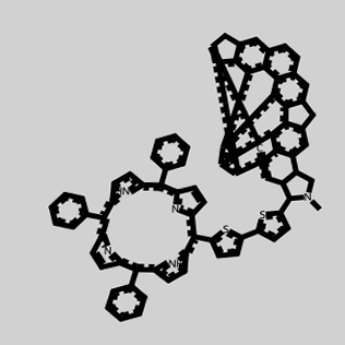 CN1CC2c3cc4c5c6c(cc7ccc8cc9c%10c%11c(cc(c%12c3c5c(c%12%11)c3c6c7c8c%103)C2C1c1ccc(-c2ccc(-c3c5nc(c(-c6ccccc6)c6ccc([nH]6)c(-c6ccccc6)c6nc(c(-c7ccccc7)c7ccc3[nH]7)C=C6)C=C5)s2)s1)C9)C4